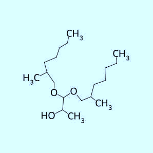 CCCCCC(C)COC(OCC(C)CCCCC)C(C)O